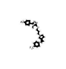 CC(=O)c1ccc(-c2nnc(SCCCN3CCC4(C[C@@H]4c4ccc(C(F)(F)F)cc4)C3)n2C)cc1